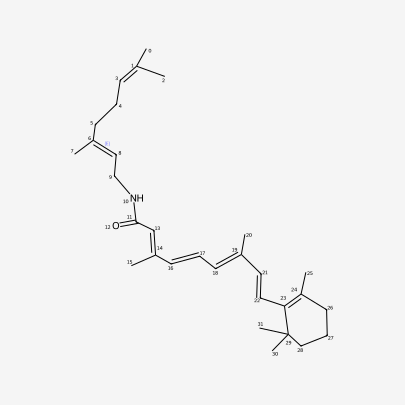 CC(C)=CCC/C(C)=C/CNC(=O)C=C(C)C=CC=C(C)C=CC1=C(C)CCCC1(C)C